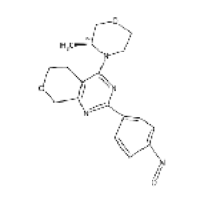 C[C@H]1COCCN1c1nc(-c2ccc(N=O)cc2)nc2c1CCOC2